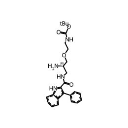 CC(C)(C)OC(=O)NCCOC[C@H](N)CNC(=O)c1[nH]c2ccccc2c1-c1ccccc1